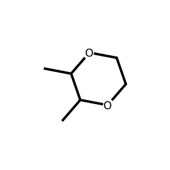 CC1OCCOC1C